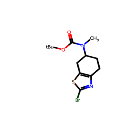 CN(C(=O)OC(C)(C)C)C1CCc2nc(Br)sc2C1